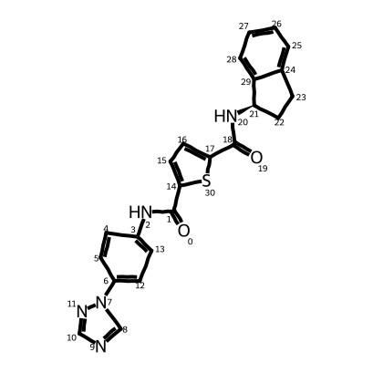 O=C(Nc1ccc(-n2cncn2)cc1)c1ccc(C(=O)N[C@@H]2CCc3ccccc32)s1